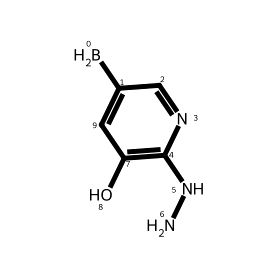 Bc1cnc(NN)c(O)c1